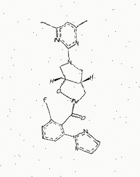 Cc1cc(C)nc(N2C[C@@H]3CN(C(=O)c4c(F)cccc4-n4nccn4)O[C@@H]3C2)n1